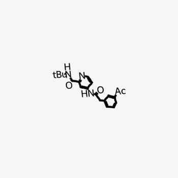 CC(=O)c1cccc(CC(=O)Nc2ccnc(C(=O)NC(C)(C)C)c2)c1